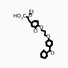 CCOC(Cc1ccc(OCCCOc2ccc(C(=O)c3ccccc3)cc2)c(Cl)c1)C(=O)O